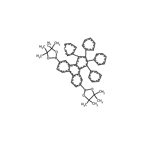 CC1(C)OB(c2ccc3c4ccc(B5OC(C)(C)C(C)(C)O5)cc4c4c(-c5ccccc5)c(-c5ccccc5)c(-c5ccccc5)c(-c5ccccc5)c4c3c2)OC1(C)C